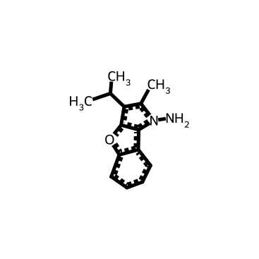 Cc1c(C(C)C)c2oc3ccccc3c2n1N